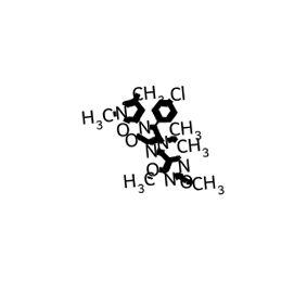 COc1ncc(-c2nc3c(n2C(C)C)[C@H](c2ccc(Cl)cc2)N(c2cc(C)cn(C)c2=O)C3=O)c(OC)n1